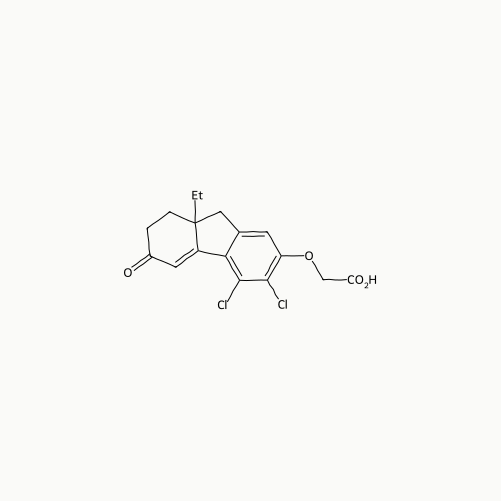 CCC12CCC(=O)C=C1c1c(cc(OCC(=O)O)c(Cl)c1Cl)C2